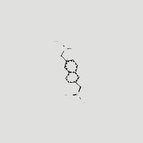 CP(C)Cc1ccc2cc(CP(C)C)ccc2c1